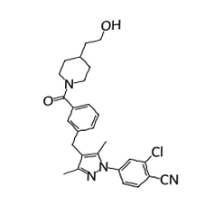 Cc1nn(-c2ccc(C#N)c(Cl)c2)c(C)c1Cc1cccc(C(=O)N2CCC(CCO)CC2)c1